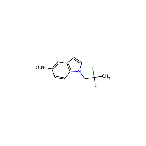 CC(F)(F)Cn1ccc2cc([N+](=O)[O-])ccc21